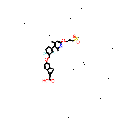 Cc1cc(OCCCS(C)(=O)=O)nc(C)c1-c1ccc(F)c(COc2ccc3c(c2)CC2C(C(=O)O)C32)c1F